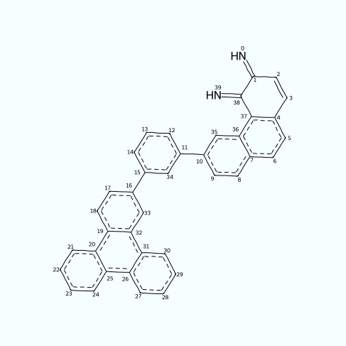 N=C1C=Cc2ccc3ccc(-c4cccc(-c5ccc6c7ccccc7c7ccccc7c6c5)c4)cc3c2C1=N